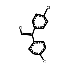 ClC=C(c1ccc(Cl)cc1)c1ccc(Cl)cc1